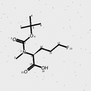 CN(C(=O)OC(C)(C)C)[C@@H](CCCF)C(=O)O